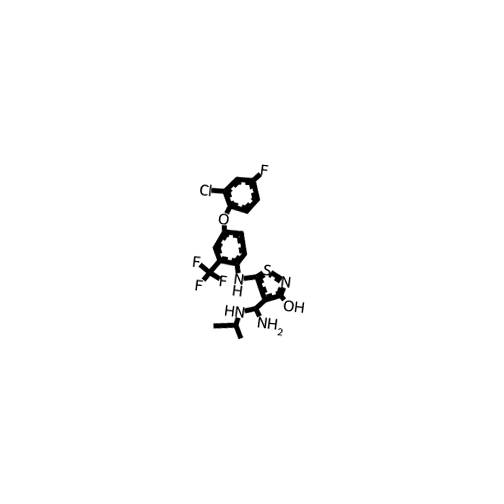 CC(C)NC(N)c1c(O)nsc1Nc1ccc(Oc2ccc(F)cc2Cl)cc1C(F)(F)F